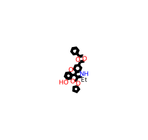 CCC1=C(C(=O)OC2CCCC2)C(c2cccc(O)c2)C2=C(CC(C3=COC=C(C4=CC=CCC4)O3)CC2=O)N1